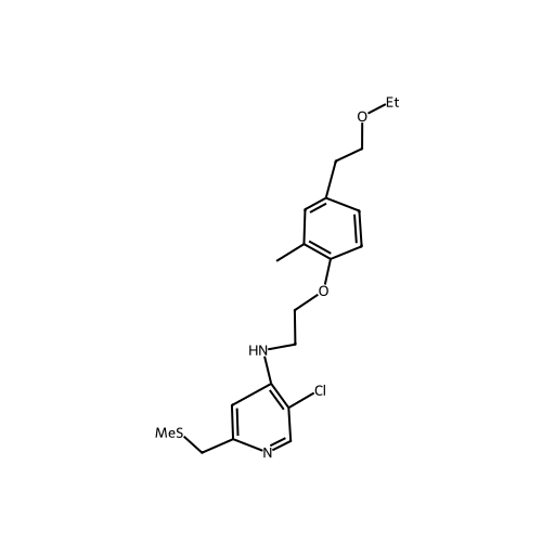 CCOCCc1ccc(OCCNc2cc(CSC)ncc2Cl)c(C)c1